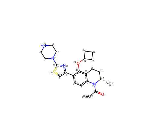 COC(=O)N1c2ccc(-c3csc(N4CCNCC4)n3)c(OC3CCC3)c2CC[C@@H]1C